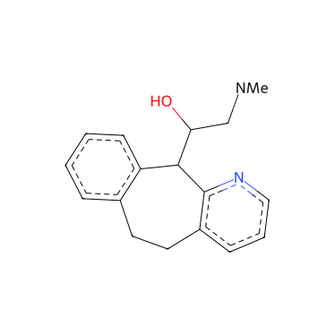 CNCC(O)C1c2ccccc2CCc2cccnc21